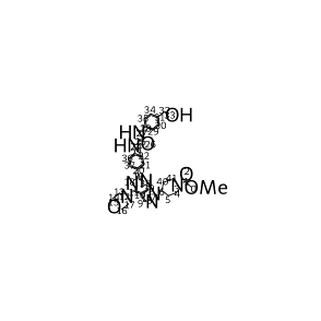 COC(=O)N1CCC(n2ncc3c(N4CCOCC4)nc(-c4ccc(NC(=O)Nc5ccc(CO)cc5)cc4)nc32)CC1